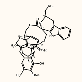 COc1c(C)cc2c(c1O)C1[C@@H]3[C@@H]4SC[C@]5(N[C@@H](CN)Cc6c5[nH]c5ccccc65)C(=O)OC[C@@H](c5c6c(c(C)c(OC(C)=O)c54)OCO6)N3C(C)(C2)CN1C